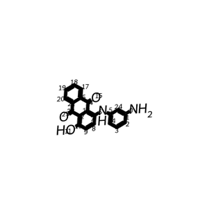 Nc1cccc(Nc2ccc(O)c3c2C(=O)c2ccccc2C3=O)c1